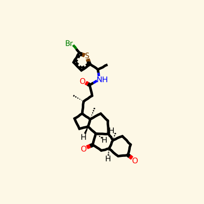 CC(NC(=O)C[C@@H](C)C1CC[C@H]2[C@@H]3C(=O)C[C@@H]4CC(=O)CC[C@]4(C)[C@H]3CC[C@]12C)c1ccc(Br)s1